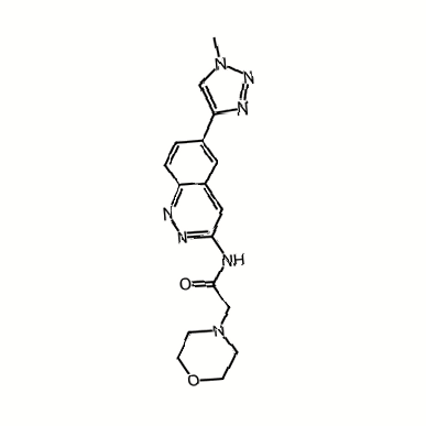 Cn1cc(-c2ccc3nnc(NC(=O)CN4CCOCC4)cc3c2)nn1